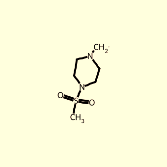 [CH2]N1CCN(S(C)(=O)=O)CC1